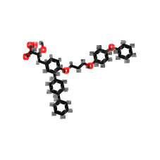 COC(Cc1ccc(OCCCOc2ccc(Oc3ccccc3)cc2)c(-c2ccc(-c3ccccc3)cc2)c1)C(=O)O